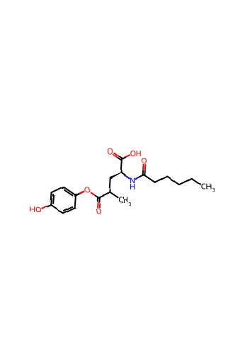 CCCCCC(=O)N[C@@H](CC(C)C(=O)Oc1ccc(O)cc1)C(=O)O